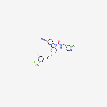 N#Cc1ccc2c(c1)c1c(n2C(=O)NCc2ccnc(Cl)c2)CCN(C/C=C/c2cc(F)cc(OC(F)(F)F)c2)C1